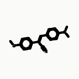 COc1ccc(/C(C#N)=C/c2ccc(N(C)C)cc2)cc1